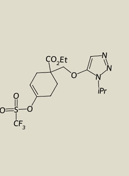 CCOC(=O)C1(COc2cnnn2C(C)C)CC=C(OS(=O)(=O)C(F)(F)F)CC1